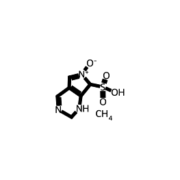 C.O=S(=O)(O)C1C2=C(C=NCN2)C=[N+]1[O-]